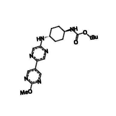 COc1ncc(-c2cnc(N[C@H]3CC[C@H](NC(=O)OC(C)(C)C)CC3)cn2)cn1